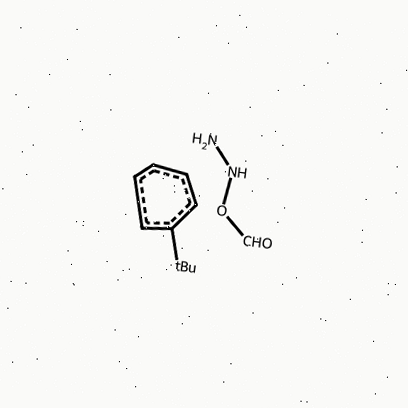 CC(C)(C)c1ccccc1.NNOC=O